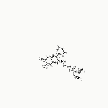 CCC(C)(CCCNc1nc2cc(Cl)c(Cl)cc2nc1-c1ccccn1)NN